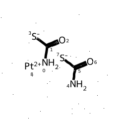 NC(=O)[S-].NC(=O)[S-].[Pt+2]